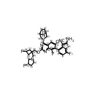 N#Cc1c(N)sc2c(F)ccc(-c3c(Cl)cc4c(N5CC6CCC(C5)N6)nc(OCC5(CN6CC[C@@H](F)C6)CC(F)C5)nc4c3F)c12